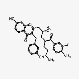 Cc1ccc(C(=O)N(CCCN)CC(C)Cc2oc3cc(C#N)ccc3c(=O)c2Cc2cccc(C#N)c2)cc1F